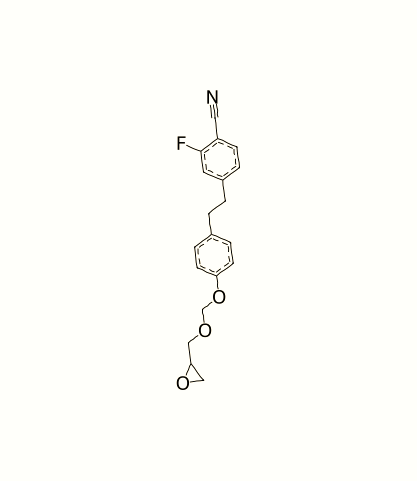 N#Cc1ccc(CCc2ccc(OCOCC3CO3)cc2)cc1F